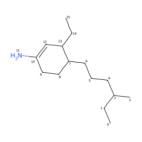 CCC(C)CCCC1CCC(N)=CC1CC